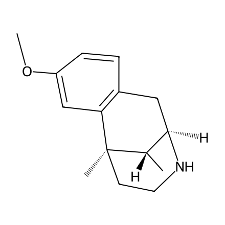 COc1ccc2c(c1)[C@]1(C)CCN[C@H](C2)[C@@H]1C